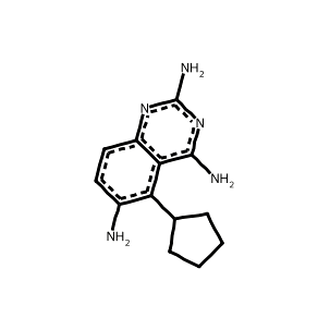 Nc1nc(N)c2c(C3CCCC3)c(N)ccc2n1